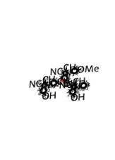 COc1ccc(-n2c(C)c(C#N)c3ccc(O)cc32)cc1.Cc1c(C#N)c2ccc(O)cc2n1-c1ccccc1.Cc1ccc(-n2c(C)c(C#N)c3ccc(O)cc32)cc1